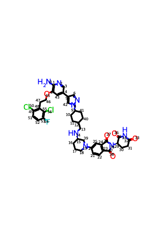 Nc1ncc(-c2cnn(C3CCC(CN[C@@H]4CCCN(c5ccc6c(c5)C(=O)N([C@@H]5CCC(=O)NC5=O)C6=O)C4)CC3)c2)cc1OCCc1c(Cl)ccc(F)c1Cl